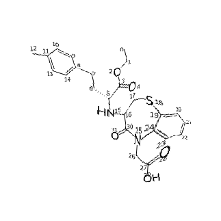 CCOC(=O)[C@@H](CCc1ccc(C)cc1)NC1CSc2ccccc2N(CC(=O)O)C1=O